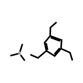 CCc1cc(CC)cc(CC)c1.CN(C)C